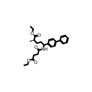 CCOC(=O)CCC(=O)NC(CC[C@@H](C)C(=O)OCC)c1ccc(-c2ccccc2)cc1